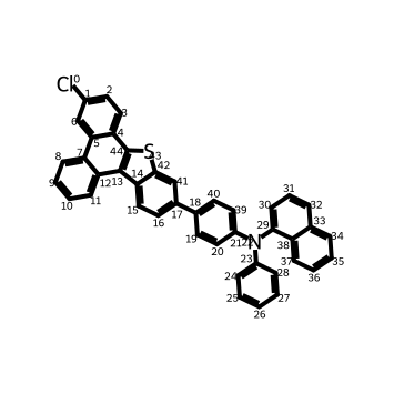 Clc1ccc2c(c1)c1ccccc1c1c3ccc(-c4ccc(N(c5ccccc5)c5cccc6ccccc56)cc4)cc3sc21